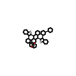 c1ccc(-c2cccc(-c3c(-c4c5ccccc5c(-c5sc6ccccc6c5-c5cccc(-c6ccccc6)c5)c5cc6ccccc6cc45)sc4ccccc34)c2)cc1